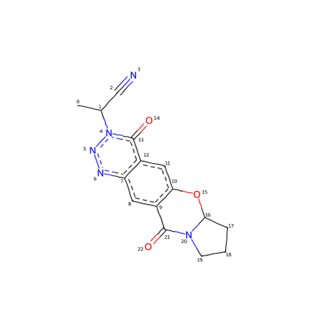 CC(C#N)n1nnc2cc3c(cc2c1=O)OC1CCCN1C3=O